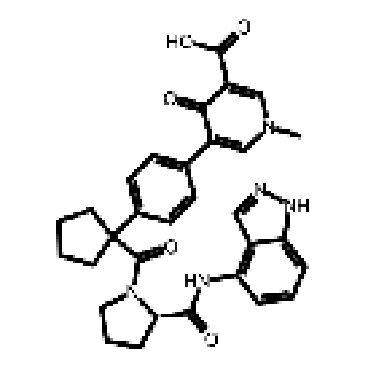 Cn1cc(C(=O)O)c(=O)c(-c2ccc(C3(C(=O)N4CCC[C@@H]4C(=O)Nc4cccc5[nH]ncc45)CCCC3)cc2)c1